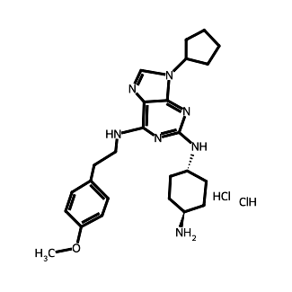 COc1ccc(CCNc2nc(N[C@H]3CC[C@H](N)CC3)nc3c2ncn3C2CCCC2)cc1.Cl.Cl